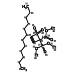 CCCCCCCCCCCC.CCO[PH](=O)C1(P(=O)(OCC)OCC)C#CS1(=O)=O